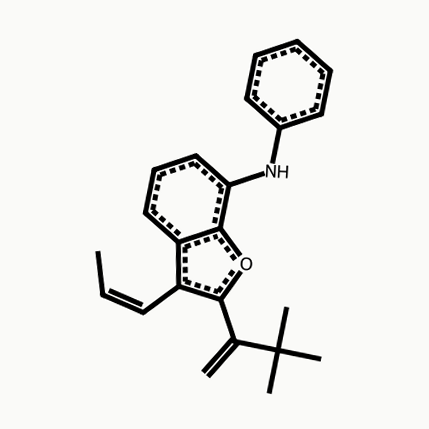 C=C(c1oc2c(Nc3ccccc3)cccc2c1/C=C\C)C(C)(C)C